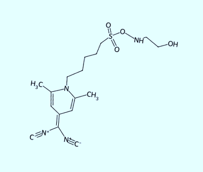 [C-]#[N+]C([N+]#[C-])=C1C=C(C)N(CCCCCS(=O)(=O)ONCCO)C(C)=C1